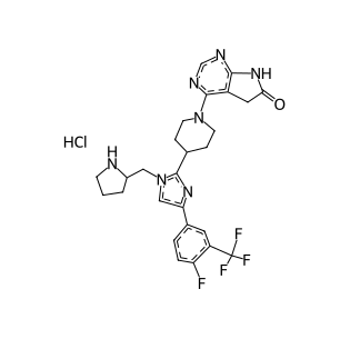 Cl.O=C1Cc2c(ncnc2N2CCC(c3nc(-c4ccc(F)c(C(F)(F)F)c4)cn3CC3CCCN3)CC2)N1